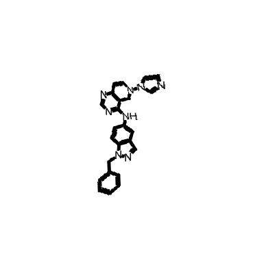 C1=CN(n2ccnc2)Cc2c1ncnc2Nc1ccc2c(cnn2Cc2ccccc2)c1